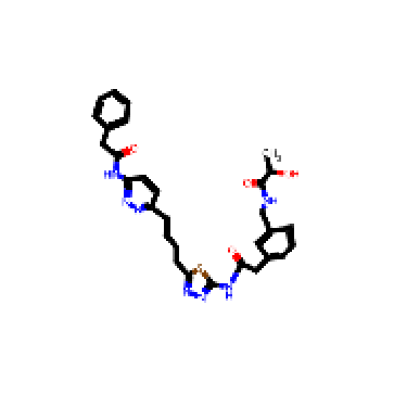 CC(O)C(=O)NCc1cccc(CC(=O)Nc2nnc(CCCCc3ccc(NC(=O)Cc4ccccc4)nn3)s2)c1